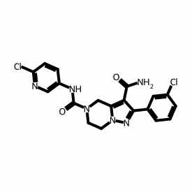 NC(=O)c1c(-c2cccc(Cl)c2)nn2c1CN(C(=O)Nc1ccc(Cl)nc1)CC2